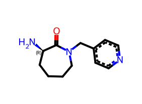 N[C@@H]1CCCCN(Cc2ccncc2)C1=O